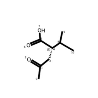 CC(=O)C[C@H](C(=O)O)C(C)C